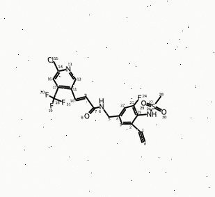 C#Cc1cc(CNC(=O)/C=C/c2cnc(Cl)cc2C(F)(F)F)cc(F)c1NS(C)(=O)=O